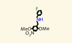 COc1cc([N+](=O)[O-])c(OC)cc1CCNCc1cccc(F)c1